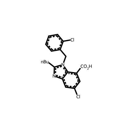 CCCCc1nc2cc(Cl)cc(C(=O)O)c2n1Cc1ccccc1Cl